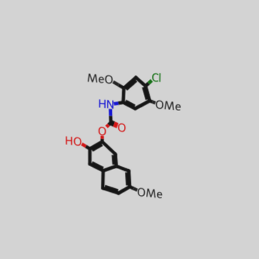 COc1ccc2cc(O)c(OC(=O)Nc3cc(OC)c(Cl)cc3OC)cc2c1